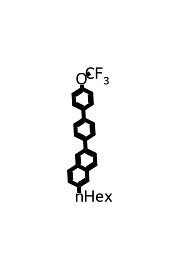 CCCCCCc1ccc2cc(-c3ccc(-c4ccc(OC(F)(F)F)cc4)cc3)ccc2c1